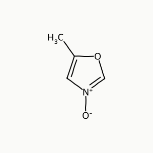 Cc1c[n+]([O-])co1